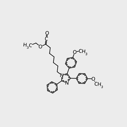 CCOC(=C=O)CCCCCCn1c(-c2ccccc2)nc(-c2ccc(OC)cc2)c1-c1ccc(OC)cc1